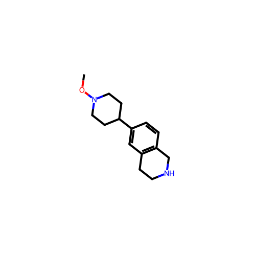 CON1CCC(c2ccc3c(c2)CCNC3)CC1